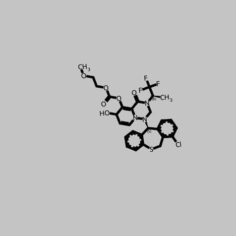 COCCOC(=O)OC1=C2C(=O)N([C@H](C)C(F)(F)F)CN([C@@H]3c4ccccc4SCc4c(Cl)cccc43)N2C=CC1O